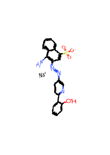 Nc1c(N=Nc2ccc(-c3ccccc3O)nc2)cc(S(=O)(=O)[O-])c2ccccc12.[Na+]